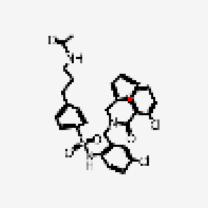 CC(=O)NCCCc1ccc(S(=O)(=O)Nc2ccc(Cl)cc2CN(Cc2ccco2)C(=O)c2ccccc2Cl)cc1